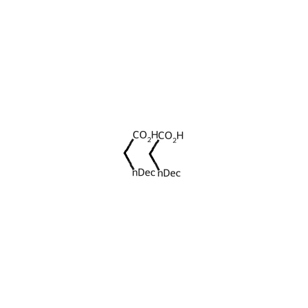 CCCCCCCCCCCC(=O)O.CCCCCCCCCCCC(=O)O